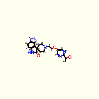 CC(O)c1ncc(OCCN2CCC3(CC2)C(=O)Nc2ccc(N)cc23)cn1